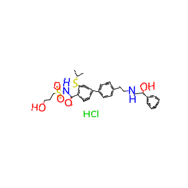 CC(C)Sc1cc(-c2ccc(CCNC[C@@H](O)c3ccccc3)cc2)ccc1C(=O)NS(=O)(=O)CCCO.Cl